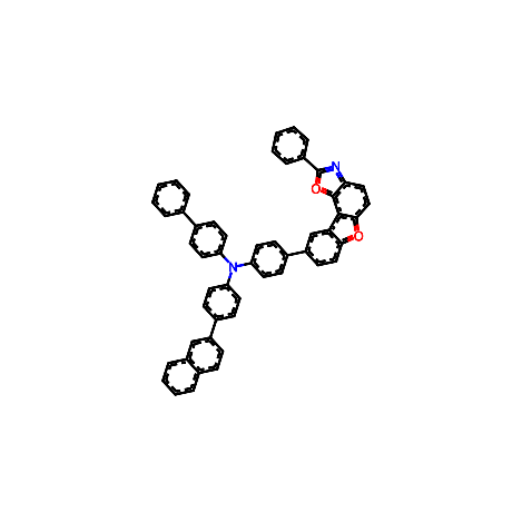 c1ccc(-c2ccc(N(c3ccc(-c4ccc5ccccc5c4)cc3)c3ccc(-c4ccc5oc6ccc7nc(-c8ccccc8)oc7c6c5c4)cc3)cc2)cc1